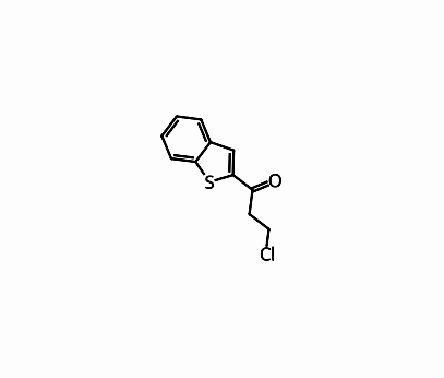 O=C(CCCl)c1cc2ccccc2s1